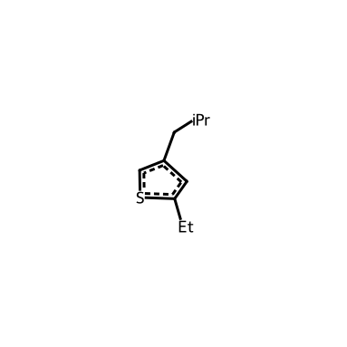 CCc1cc(CC(C)C)cs1